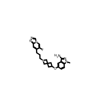 Cn1nc(N)c2cc(OC3CC4(C3)CN(CCCc3cc5nncn5cc3F)C4)ccc21